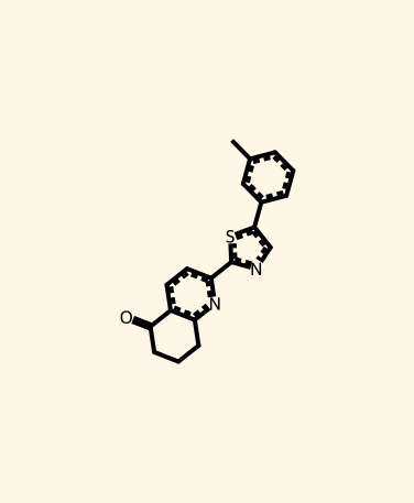 Cc1cccc(-c2cnc(-c3ccc4c(n3)CCCC4=O)s2)c1